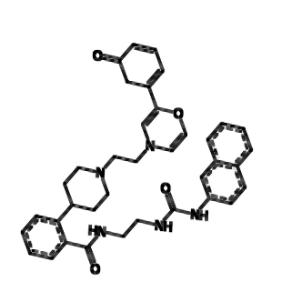 O=C1C=CC=C(C2=CN(CCN3CCC(c4ccccc4C(=O)NCCNC(=O)Nc4ccc5ccccc5c4)CC3)C=CO2)C1